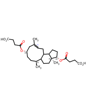 C/C1=C\CC2C(CC[C@@]3(C)C2CC[C@@H]3OC(=O)CCC(=O)O)[C@@H](C)CC[C@H](OC(=O)CCC(=O)O)C1